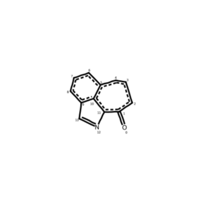 O=c1cccc2cccc3c2c1N=C3